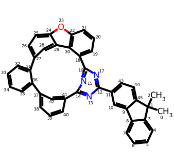 CC1(C)c2ccccc2-c2cc(-c3nc4nc(n3)c3cccc5oc6ccc(cc6c53)c3ccccc3c3cccc4c3)ccc21